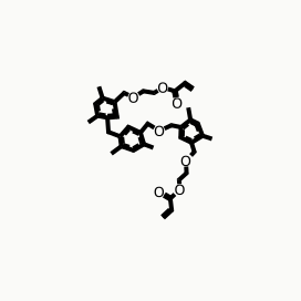 C=CC(=O)OCCOCc1cc(COCc2cc(Cc3cc(COCCOC(=O)C=C)c(C)cc3C)c(C)cc2C)c(C)cc1C